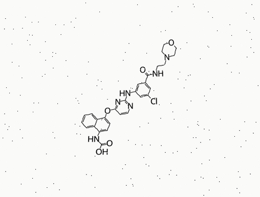 O=C(O)Nc1ccc(Oc2ccnc(Nc3cc(Cl)cc(C(=O)NCCN4CCOCC4)c3)n2)c2ccccc12